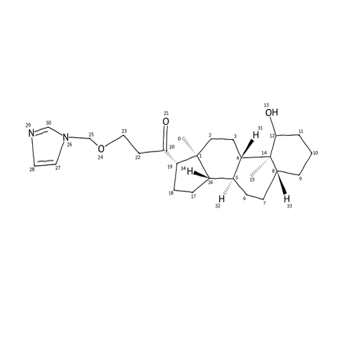 C[C@]12CC[C@H]3[C@@H](CC[C@H]4CCCC(O)[C@@]43C)[C@@H]1CC[C@@H]2C(=O)CCOCn1ccnc1